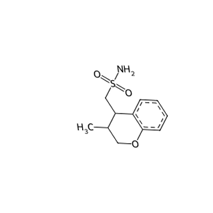 CC1COc2ccccc2C1CS(N)(=O)=O